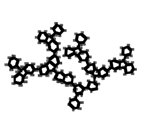 c1ccc(-c2nc(-c3cccc(-n4c5ccc(-c6ccc7c(c6)c6ccccc6n7-c6ccccc6)cc5c5cc(-c6ccc7c(c6)c6ccccc6n7-c6ccccc6)ccc54)c3)cc(-c3ccc4cc(-n5c6ccc(-c7ccc8c(c7)c7ccccc7n8-c7ccccc7)cc6c6cc(-c7ccc8c(c7)c7ccccc7n8-c7ccccc7)ccc65)ccc4c3)n2)cc1